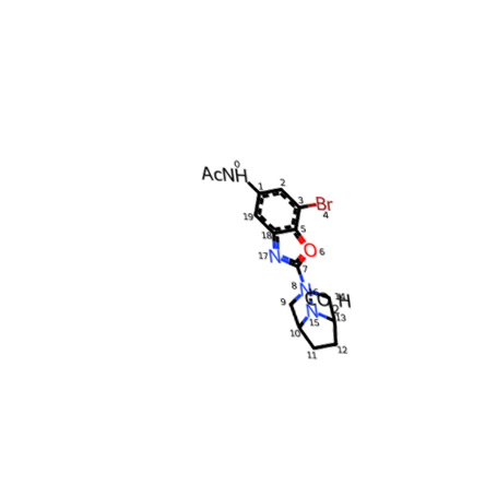 CC(=O)Nc1cc(Br)c2oc(N3CC4CCC(C3)N4C(=O)O)nc2c1